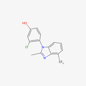 Cc1nc2c(C(F)(F)F)cccc2n1-c1ccc(O)cc1Cl